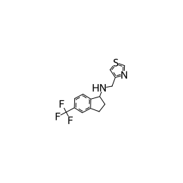 FC(F)(F)c1ccc2c(c1)CCC2NCc1cscn1